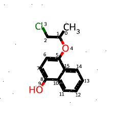 CC(CCl)Oc1ccc(O)c2ccccc12